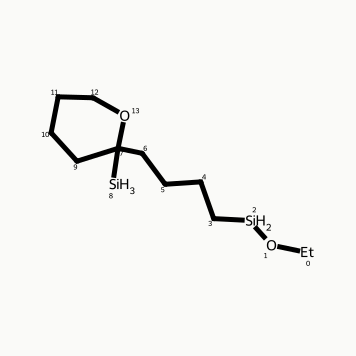 CCO[SiH2]CCCCC1([SiH3])CCCCO1